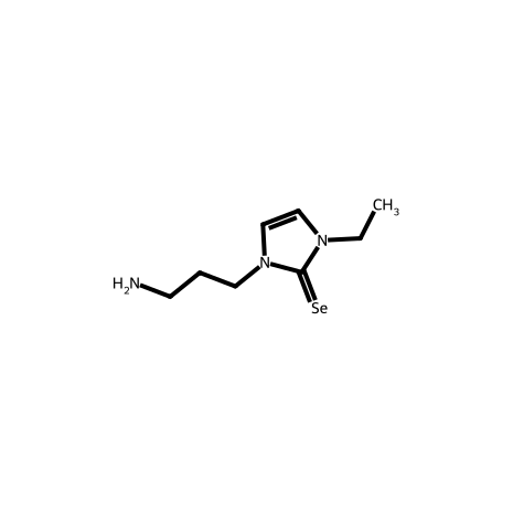 CCn1ccn(CCCN)c1=[Se]